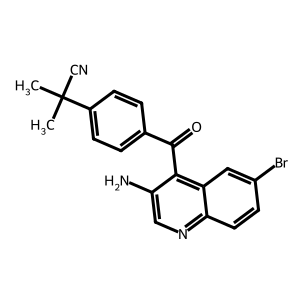 CC(C)(C#N)c1ccc(C(=O)c2c(N)cnc3ccc(Br)cc23)cc1